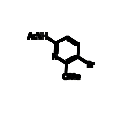 COc1nc(NC(C)=O)ccc1Br